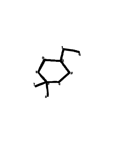 CCC1CCC(C)(C)CC1